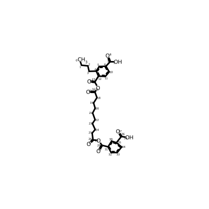 CCCCc1cc(C(=O)O)ccc1C(=O)OC(=O)CCCCCCCCC(=O)OC(=O)c1cccc(C(=O)O)c1